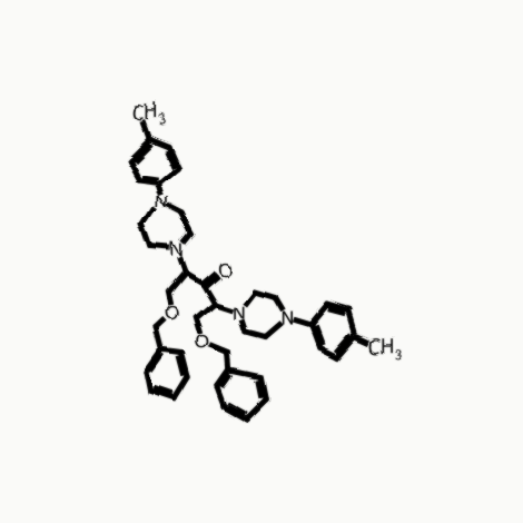 Cc1ccc(N2CCN(C(COCc3ccccc3)C(=O)C(COCc3ccccc3)N3CCN(c4ccc(C)cc4)CC3)CC2)cc1